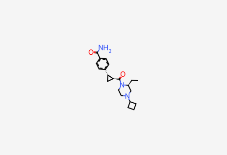 CC[C@H]1CN(C2CCC2)CCN1C(=O)[C@H]1C[C@@H]1c1ccc(C(N)=O)cc1